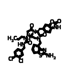 CCCN(C(=O)NCc1ccc(Cl)c(Cl)c1)N1CC(=O)N2[C@@H](Cc3ccc4[nH]c(=O)oc4c3)C(=O)N(Cc3cccc4sc(N)nc34)C[C@@H]21